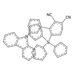 N#Cc1ccc([Si](c2ccccc2)(c2ccccc2)c2ccccc2)c(-c2cccc(-n3c4ccccc4c4ccccc43)c2)c1C#N